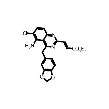 CCOC(=O)/C=C/c1nc(Cc2ccc3c(c2)OCO3)c2c(N)c(Cl)ccc2n1